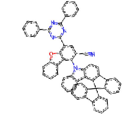 N#Cc1cc(-c2nc(-c3ccccc3)nc(-c3ccccc3)n2)c2oc3ccccc3c2c1-n1c2ccccc2c2c3c(ccc21)-c1ccccc1C31c2ccccc2-c2ccccc21